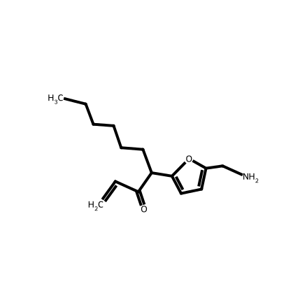 C=CC(=O)C(CCCCCC)c1ccc(CN)o1